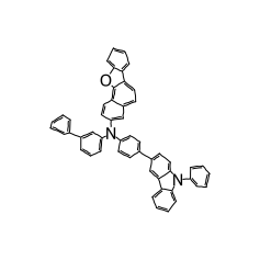 c1ccc(-c2cccc(N(c3ccc(-c4ccc5c(c4)c4ccccc4n5-c4ccccc4)cc3)c3ccc4c(ccc5c6ccccc6oc45)c3)c2)cc1